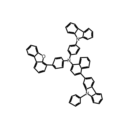 c1ccc(-n2c3ccccc3c3ccc(-c4ccc(N(c5ccc(-c6cccc7c6oc6ccccc67)cc5)c5ccc(-n6c7ccccc7c7ccccc76)cc5)c5ccccc45)cc32)cc1